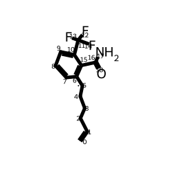 C=CCCC[CH]c1cccc(C(F)(F)F)c1C(N)=O